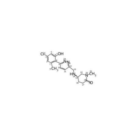 Cc1cc(Cl)cc(O)c1-c1ccc(CN[C@@H]2CCC(=O)N(C)C2)nn1